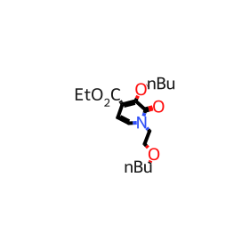 CCCCOCCn1ccc(C(=O)OCC)c(OCCCC)c1=O